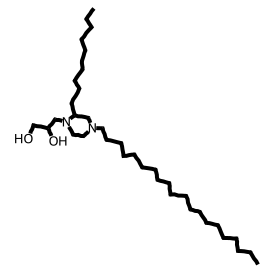 CCCCCCCCCCCCCCCCCCCCN1CCN(CC(O)CO)C(CCCCCCCCCC)C1